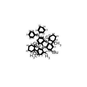 Cc1cc(C)c2c3c1B1c4cc(C(C)(C)C)cc5c4N(c4cc(N(c6ccccc6)c6ccccc6)cc(c41)N3C1(C)CCCCC21C)C1(C)CCCCC51C